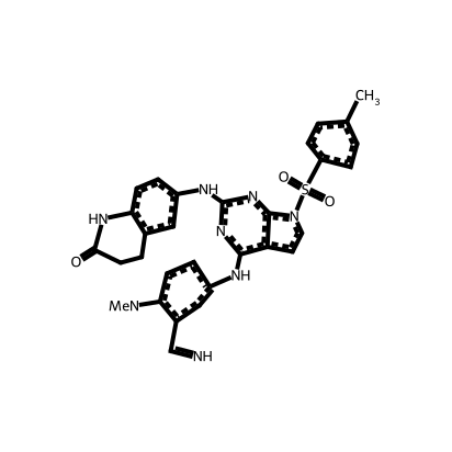 CNc1ccc(Nc2nc(Nc3ccc4c(c3)CCC(=O)N4)nc3c2ccn3S(=O)(=O)c2ccc(C)cc2)cc1C=N